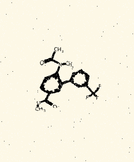 COC(=O)c1ccc(N(C)C(C)=O)c(-c2cccc(C(F)(F)F)c2)c1